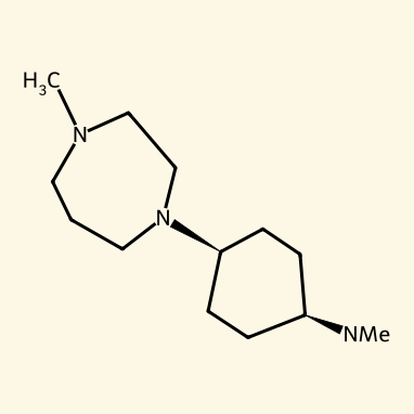 CN[C@H]1CC[C@@H](N2CCCN(C)CC2)CC1